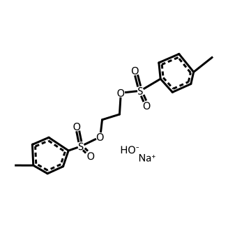 Cc1ccc(S(=O)(=O)OCCOS(=O)(=O)c2ccc(C)cc2)cc1.[Na+].[OH-]